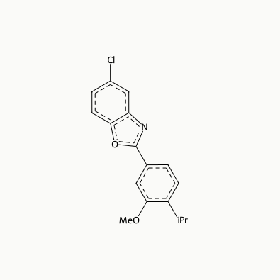 COc1cc(-c2nc3cc(Cl)ccc3o2)ccc1C(C)C